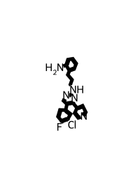 Nc1ccccc1CCCNc1ncc(-c2ccc(F)c(Cl)c2)c(-c2ccncc2)n1